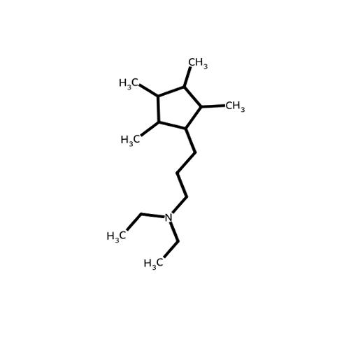 CCN(CC)CCCC1C(C)C(C)C(C)C1C